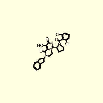 O=C1c2c(O)c(=O)nc([C@@H]3CCCN3C(=O)c3c(Cl)cccc3Cl)n2CCN1C1Cc2ccccc2C1